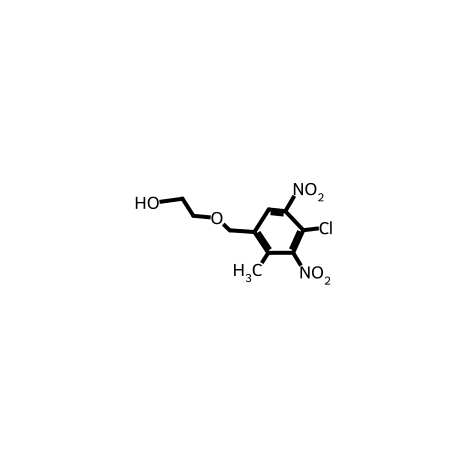 Cc1c(COCCO)cc([N+](=O)[O-])c(Cl)c1[N+](=O)[O-]